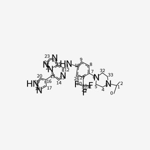 CC(C)N1CCN(c2ccc(Nc3ncc(-c4cn[nH]c4)n4ncnc34)cc2C(F)(F)F)CC1